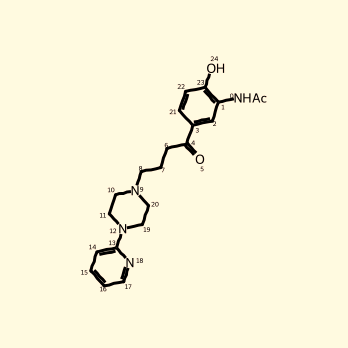 CC(=O)Nc1cc(C(=O)CCCN2CCN(c3ccccn3)CC2)ccc1O